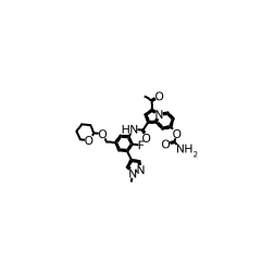 CC(=O)c1cc(C(=O)Nc2cc(COC3CCCCO3)cc(-c3cnn(C)c3)c2F)c2cc(OC(N)=O)ccn12